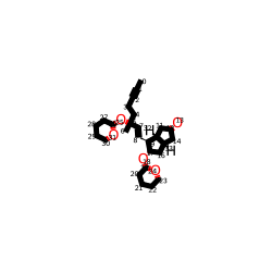 CC#CCCC(C)(C=C[C@@H]1[C@H]2CC(=O)C[C@H]2C[C@H]1OC1CCCCO1)OC1CCCCO1